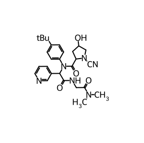 CN(C)C(=O)CNC(=O)C(c1cccnc1)N(C(=O)C1CC(O)CN1C#N)c1ccc(C(C)(C)C)cc1